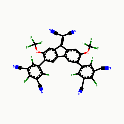 N#CC(C#N)=C1c2cc(OC(F)(F)F)c(-c3c(F)c(C#N)c(F)c(C#N)c3F)cc2-c2cc(-c3c(F)c(C#N)c(F)c(C#N)c3F)c(OC(F)(F)F)cc21